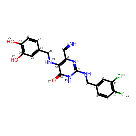 N=Cc1nc(NCc2ccc(Cl)c(Cl)c2)[nH]c(=O)c1NCc1ccc(O)c(O)c1